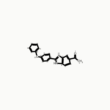 CC(=O)c1ccc2[nH]c(-c3ccc(Oc4ccccc4)cc3)nc2c1